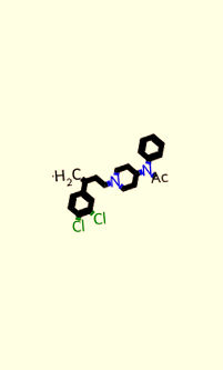 [CH2]C(CCN1CCC(N(C(C)=O)c2ccccc2)CC1)c1ccc(Cl)c(Cl)c1